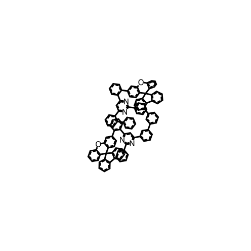 c1ccc(-c2nc(-c3cccc(-c4cccc(-c5cccc6c5-c5ccccc5C65c6ccccc6Oc6cc(-c7ccccc7-c7cc(-c8ccccc8-c8ccccc8)nc(-c8ccccc8)n7)ccc65)c4)c3)cc(-c3ccccc3-c3ccc4c(c3)Oc3ccccc3C43c4ccccc4-c4ccccc43)n2)cc1